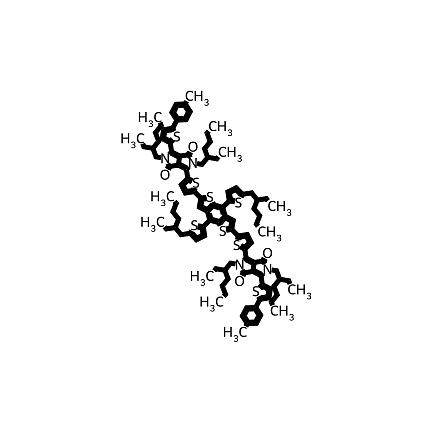 CCCCC(CC)Cc1ccc(-c2c3cc(-c4ccc(C5=C6C(=O)N(CC(CC)CCCC)C(c7ccc(-c8ccc(C)cc8)s7)=C6C(=O)N5CC(CC)CCCC)s4)sc3c(-c3ccc(CC(CC)CCCC)s3)c3cc(-c4ccc(C5=C6C(=O)N(CC(CC)CCCC)C(c7ccc(-c8ccc(C)cc8)s7)=C6C(=O)N5CC(CC)CCCC)s4)sc23)s1